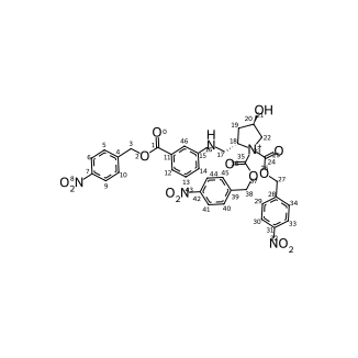 O=C(OCc1ccc([N+](=O)[O-])cc1)c1cccc(NC[C@@H]2C[C@@H](O)C[N+]2(C(=O)OCc2ccc([N+](=O)[O-])cc2)C(=O)OCc2ccc([N+](=O)[O-])cc2)c1